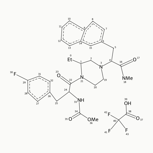 CCC1CN(C(Cc2ccc3ccccc3c2)C(=O)NC)CCN1C(=O)C(Cc1ccc(F)cc1)NC(=O)OC.O=C(O)C(F)(F)F